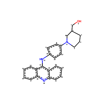 OCC1CCCN(c2ccc(Nc3c4ccccc4nc4ccccc34)cc2)C1